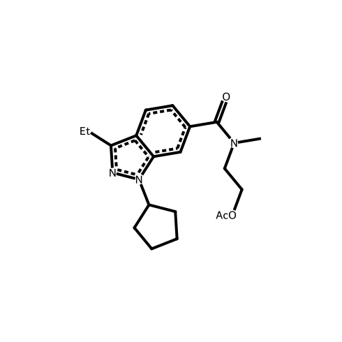 CCc1nn(C2CCCC2)c2cc(C(=O)N(C)CCOC(C)=O)ccc12